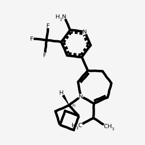 CC(C)C1=CCCC(c2cnc(N)c(C(F)(F)F)c2)=CN1[C@H]1CC2CC1C2